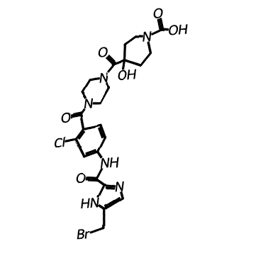 O=C(Nc1ccc(C(=O)N2CCN(C(=O)C3(O)CCN(C(=O)O)CC3)CC2)c(Cl)c1)c1ncc(CBr)[nH]1